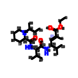 CCOC(=O)/C(C)=C/[C@@H](NC(=O)[C@@H](NC(=O)[C@H]1CCCCN1C(C)CC)C(C)C)C(C)C